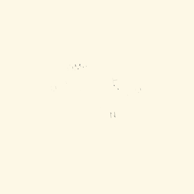 COC(=O)c1ccc2c(c1)[nH]c(=O)c1cccn12